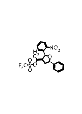 C/C(OS(=O)(=O)C(F)(F)F)=C1/C[C@H](c2ccccc2)O[C@@H]1c1ccccc1[N+](=O)[O-]